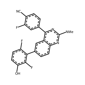 CNc1nc(-c2ccc(C#N)c(F)c2)c2cc(-c3c(F)ccc(O)c3F)ccc2n1